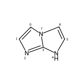 [c]1cnc2[nH]ccn12